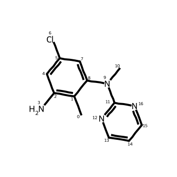 Cc1c(N)cc(Cl)cc1N(C)c1ncccn1